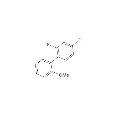 COc1ccccc1-c1ccc(F)[c]c1F